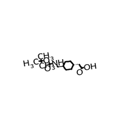 CC(C)(C)OC(=O)NC[C@H]1CC[C@H](CC(=O)O)CC1